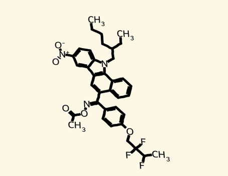 CCCCC(CC)Cn1c2ccc([N+](=O)[O-])cc2c2cc(/C(=N/OC(C)=O)c3ccc(OCC(F)(F)C(C)F)cc3)c3ccccc3c21